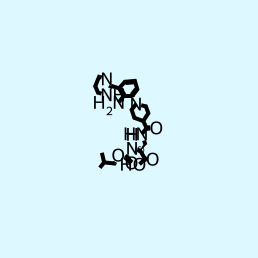 CC(C)COC(=O)N[C@@H](CNC(=O)C1CCN(c2cccc(C3=NCCCN3)c2N)CC1)C(=O)O